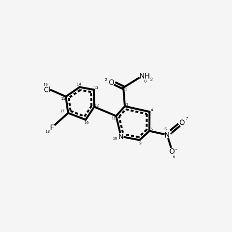 NC(=O)c1cc([N+](=O)[O-])cnc1-c1ccc(Cl)c(F)c1